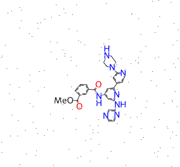 COC(=O)c1cccc(C(=O)Nc2cc(Nc3cnccn3)nc(-c3ccnc(N4CCNCC4)c3)c2)c1